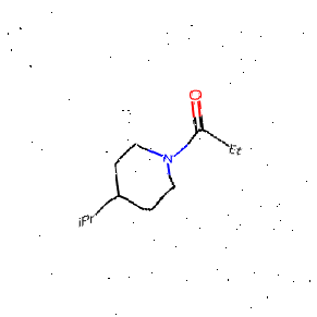 CCC(=O)N1CCC(C(C)C)CC1